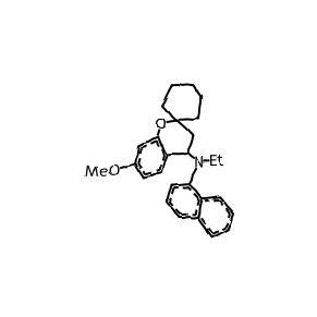 CCN(c1cccc2ccccc12)C1CC2(CCCCC2)Oc2cc(OC)ccc21